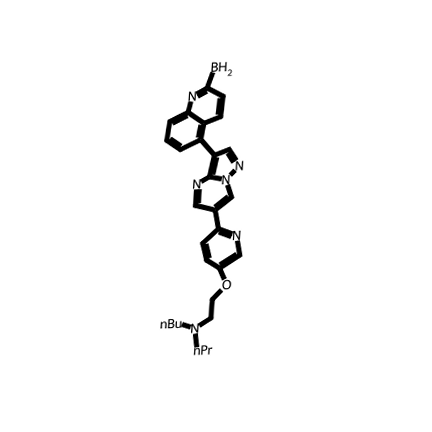 Bc1ccc2c(-c3cnn4cc(-c5ccc(OCCN(CCC)CCCC)cn5)cnc34)cccc2n1